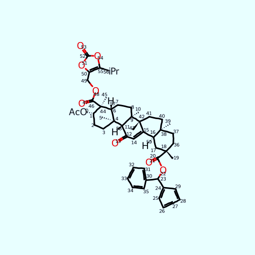 CC(=O)O[C@H]1CC[C@@]2(C)[C@@H](CC[C@]3(C)[C@@H]2C(=O)C=C2[C@@H]4C[C@@](C)(C(=O)OC(c5ccccc5)c5ccccc5)CC[C@]4(C)CC[C@]23C)[C@]1(C)C(=O)OCc1oc(=O)oc1C(C)C